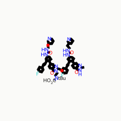 Cc1nc2cc(-c3ccc(NC(=O)NCCc4cccnc4)cc3C#Cc3ccc(F)cc3)ccc2c(=O)[nH]1.Cc1nc2cc(-c3ccc(NC(=O)NCCc4cccnc4)cc3C#Cc3ccc(F)cc3)ccc2c(=O)n1CCN(C(=O)O)C(C)(C)C